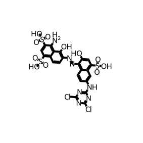 Nc1c(S(=O)(=O)O)cc(S(=O)(=O)O)c2ccc(N=Nc3c(O)cc(S(=O)(=O)O)c4cc(Nc5nc(Cl)nc(Cl)n5)ccc34)c(O)c12